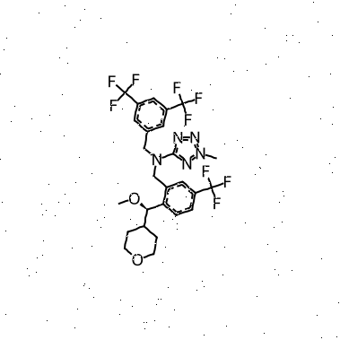 CO[C@@H](c1ccc(C(F)(F)F)cc1CN(Cc1cc(C(F)(F)F)cc(C(F)(F)F)c1)c1nnn(C)n1)C1CCOCC1